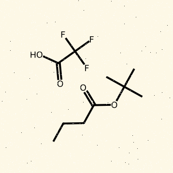 CCCC(=O)OC(C)(C)C.O=C(O)C(F)(F)F